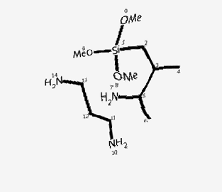 CO[Si](CC(C)C(C)N)(OC)OC.NCCCN